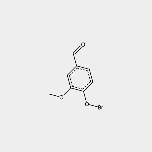 COc1cc(C=O)ccc1OBr